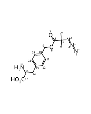 CC(C)(N=[N+]=[N-])C(=O)OCc1ccc(CC(N)C(=O)O)cc1